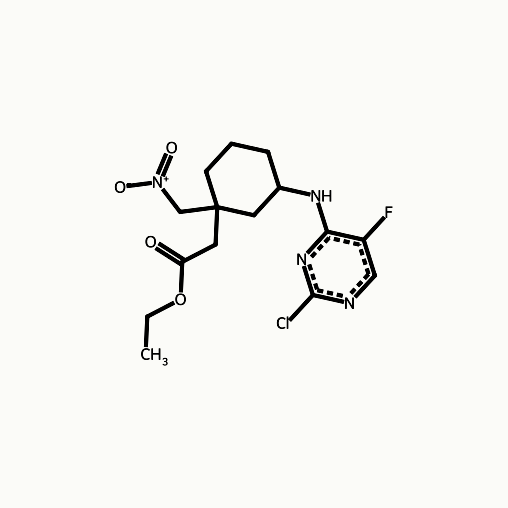 CCOC(=O)CC1(C[N+](=O)[O-])CCCC(Nc2nc(Cl)ncc2F)C1